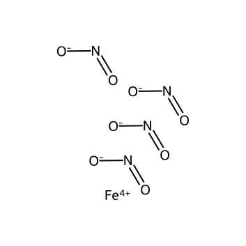 O=N[O-].O=N[O-].O=N[O-].O=N[O-].[Fe+4]